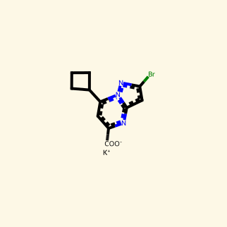 O=C([O-])c1cc(C2CCC2)n2nc(Br)cc2n1.[K+]